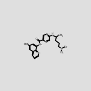 CCN(CC)CCCC(C)Nc1cnc(C(=O)Nc2cc(O)cc3cccnc23)cn1